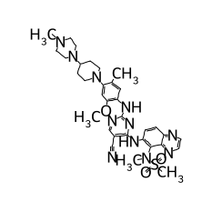 COc1cc(N2CCC(N3CCN(C)CC3)CC2)c(C)cc1Nc1ncc(C#N)c(Nc2ccc3nccnc3c2N(C)S(C)(=O)=O)n1